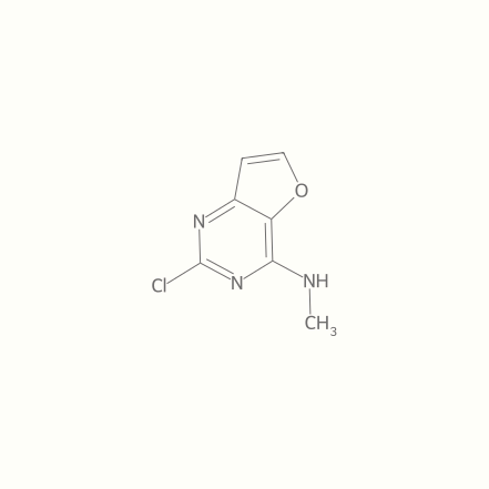 CNc1nc(Cl)nc2ccoc12